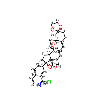 C[C@@]12CC=C3C=C4CCC5(C[C@]46CC[C@]3(O6)C1CC[C@@]2(O)c1ccc2ccnc(Cl)c2c1)OCCO5